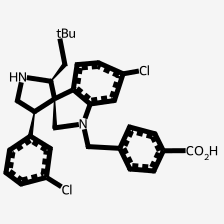 CC(C)(C)C[C@@H]1NC[C@H](c2cccc(Cl)c2)[C@]12CN(Cc1ccc(C(=O)O)cc1)c1cc(Cl)ccc12